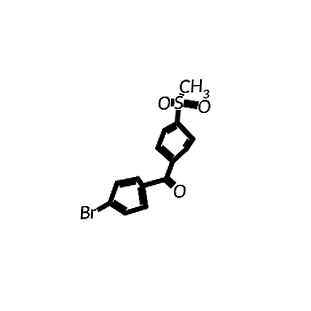 CS(=O)(=O)c1ccc(C(=O)c2ccc(Br)cc2)cc1